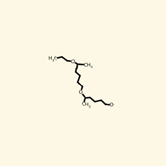 CCCOC(C)CCCCOC(C)CCCC[O]